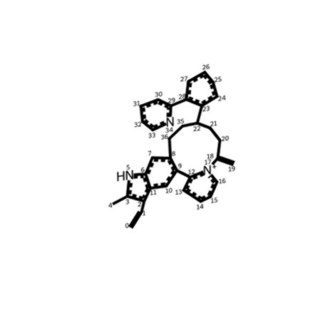 C=Cc1c(C)[nH]c2cc3c(cc12)-c1cccc[n+]1C(=C)CCC(c1ccccc1-c1ccccn1)CC3